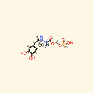 C[C@@](Cc1ccc(O)c(O)c1)(NNC(=O)OCOP(C)(=O)O)C(=O)O